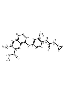 CCNC(=O)c1cc2c(Oc3ccc(NC(=O)NC4CC4)c(C)c3)ccnc2cc1OC